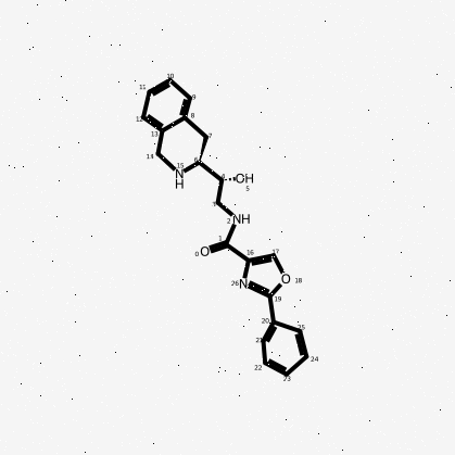 O=C(NC[C@@H](O)[C@@H]1Cc2ccccc2CN1)c1coc(-c2ccccc2)n1